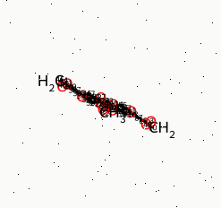 C=CC(=O)OCCCCCCOc1ccc2cc(C(=O)Oc3ccc(OC(=O)c4ccc5cc(OCCCCCCOC(=O)C=C)ccc5c4)c(OC)c3)ccc2c1